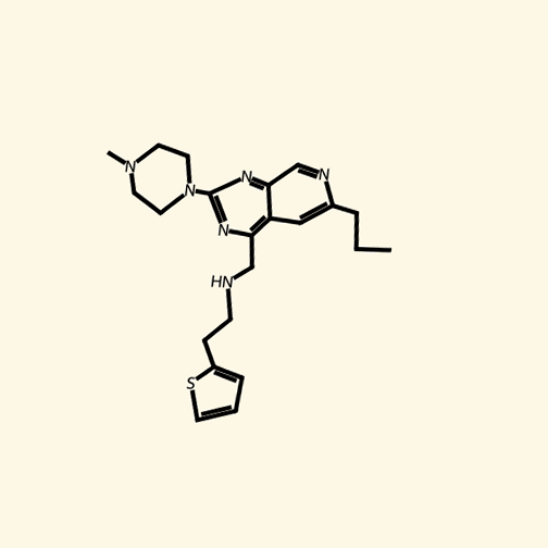 CCCc1cc2c(CNCCc3cccs3)nc(N3CCN(C)CC3)nc2cn1